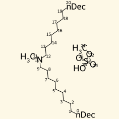 CCCCCCCCCCCCCCCCCCCN(C)CCCCCCCCCCCCCCCCCC.COS(=O)(=O)O